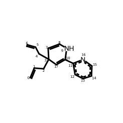 C=CCC1(CC=C)C=CNC(c2ccccn2)=C1